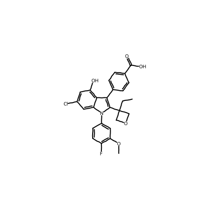 CCC1(c2c(-c3ccc(C(=O)O)cc3)c3c(O)cc(Cl)cc3n2-c2ccc(F)c(OC)c2)COC1